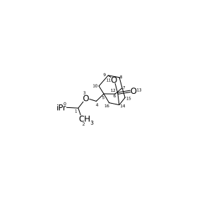 CC(C)C(C)OCC12CC3CC(C1)OC(=O)C(C3)C2